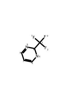 FC(F)(F)C1[N]C=CC=N1